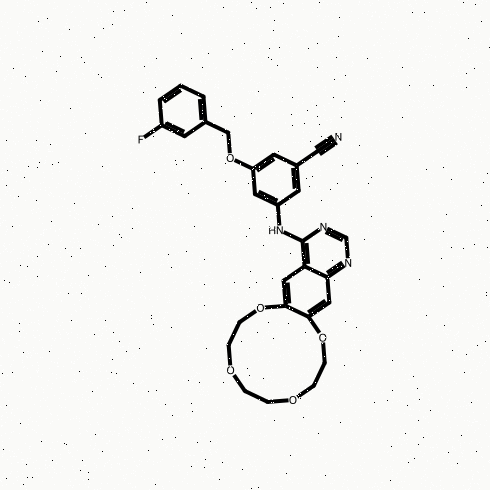 N#Cc1cc(Nc2ncnc3cc4c(cc23)OCCOCCOCCO4)cc(OCc2cccc(F)c2)c1